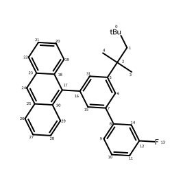 CC(C)(C)CC(C)(C)c1cc(-c2cccc(F)c2)cc(-c2c3ccccc3cc3ccccc23)c1